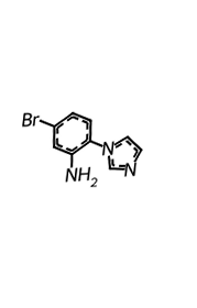 Nc1cc(Br)ccc1-n1ccnc1